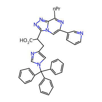 CCCc1nc(-c2cccnc2)cn2c(C(Cc3cn(C(c4ccccc4)(c4ccccc4)c4ccccc4)cn3)C(=O)O)nnc12